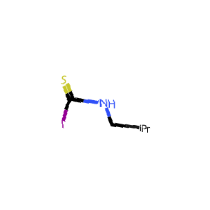 CC(C)CNC(=S)I